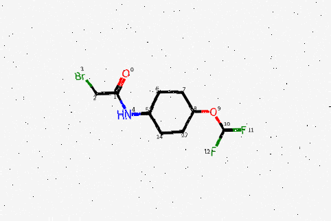 O=C(CBr)NC1CCC(OC(F)F)CC1